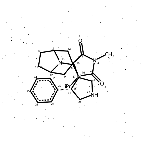 CC(C)N1C(=O)N(C)C(=O)C12CC1CCC(C2)N1C[C@H]1CNC[C@@H]1c1ccccc1